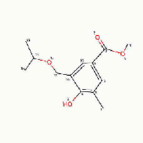 COC(=O)c1cc(C)c(O)c(COC(C)C)c1